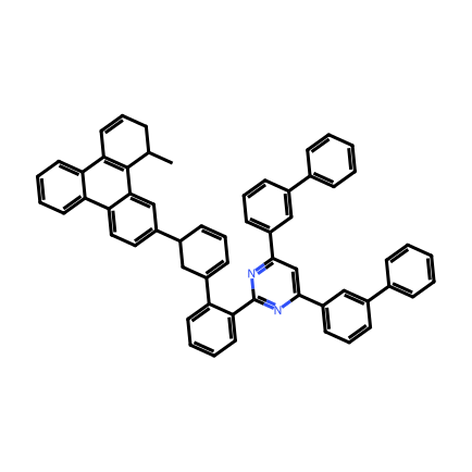 CC1CC=Cc2c1c1cc(C3C=CC=C(c4ccccc4-c4nc(-c5cccc(-c6ccccc6)c5)cc(-c5cccc(-c6ccccc6)c5)n4)C3)ccc1c1ccccc21